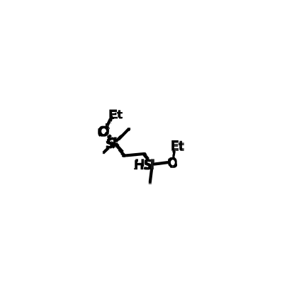 CCO[SiH](C)CC[Si](C)(C)OCC